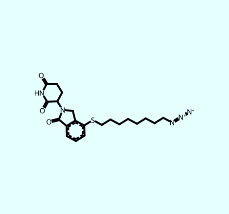 [N-]=[N+]=NCCCCCCCCSc1cccc2c1CN(C1CCC(=O)NC1=O)C2=O